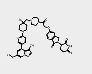 CCOc1cc(-c2ccc(N3CCC(CC)(CN4CCN(C(=O)COc5ccc6c(c5)CN(C5CCC(=O)NC5=O)C6=O)CC4)CC3)nc2)c2c(C#N)cnn2c1